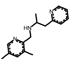 Cc1cnc(CNC(C)Cc2ccccn2)c(C)c1